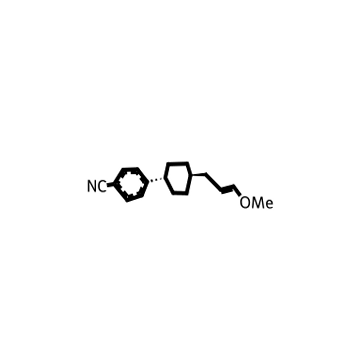 CO/C=C/C[C@H]1CC[C@H](c2ccc(C#N)cc2)CC1